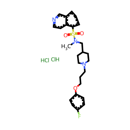 CN(CC1CCN(CCCOc2ccc(F)cc2)CC1)S(=O)(=O)c1cccc2cnccc12.Cl.Cl